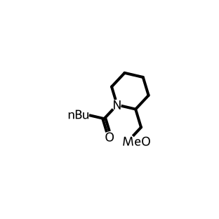 CCCCC(=O)N1CCCCC1COC